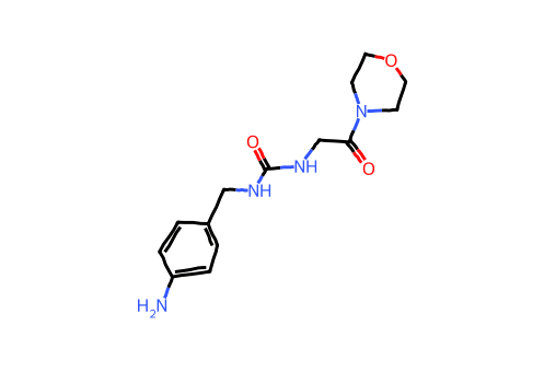 Nc1ccc(CNC(=O)NCC(=O)N2CCOCC2)cc1